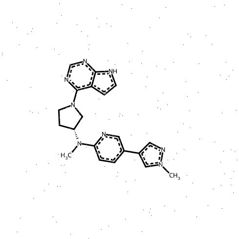 CN(c1ccc(-c2cnn(C)c2)cn1)[C@@H]1CCN(c2ncnc3[nH]ccc23)C1